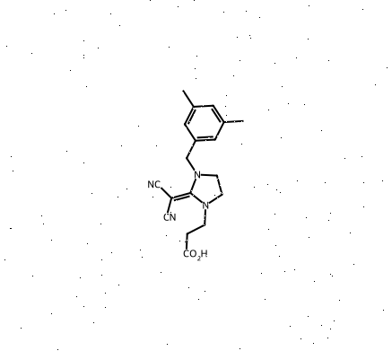 Cc1cc(C)cc(CN2CCN(CCC(=O)O)C2=C(C#N)C#N)c1